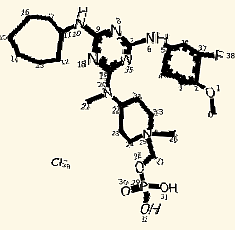 COc1ccc(Nc2nc(NC3CCCCCC3)nc(N(C)C3CC[N+](C)(COP(=O)(O)O)CC3)n2)cc1F.[Cl-]